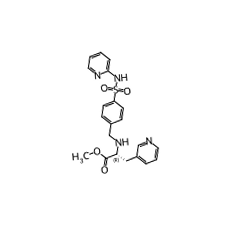 COC(=O)[C@@H](Cc1cccnc1)NCc1ccc(S(=O)(=O)Nc2ccccn2)cc1